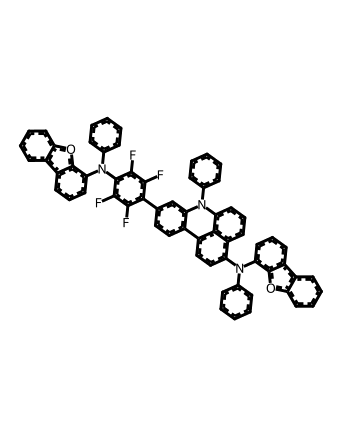 Fc1c(F)c(N(c2ccccc2)c2cccc3c2oc2ccccc23)c(F)c(F)c1-c1ccc2c(c1)N(c1ccccc1)c1cccc3c(N(c4ccccc4)c4cccc5c4oc4ccccc45)ccc-2c13